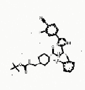 CC(C)(C)OC(=O)NC[C@H]1CC[C@H](C(=O)N[C@@H](Cc2ccccc2N)c2nc(-c3ccc(C#N)c(F)c3)c[nH]2)CC1